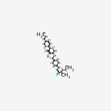 C=CC[C@H](C)/C(F)=C\CC1CCC(CC[C@H]2CC[C@@H]([C@@H]3C=C[C@H](CCC)CC3)C(F)=C2F)CC1